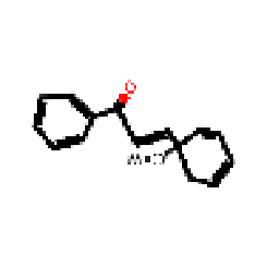 COC1(C=CC(=O)c2ccccc2)C=CC=CC1